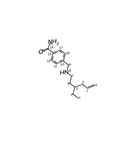 C=CCC(CC)CCNCc1ccc(C(N)=O)cc1